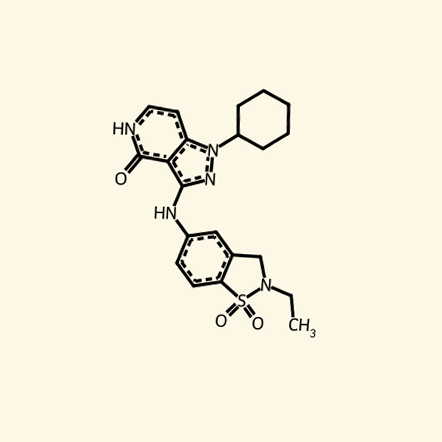 CCN1Cc2cc(Nc3nn(C4CCCCC4)c4cc[nH]c(=O)c34)ccc2S1(=O)=O